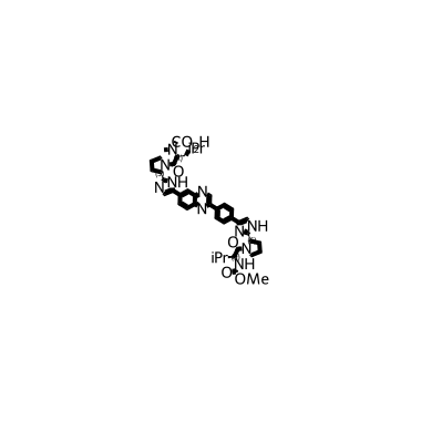 COC(=O)N[C@H](C(=O)N1CCC[C@H]1c1nc(-c2ccc(-c3cnc4cc(-c5cnc([C@@H]6CCCN6C(=O)[C@@H](CC(C)C)N(C)C(=O)O)[nH]5)ccc4n3)cc2)c[nH]1)C(C)C